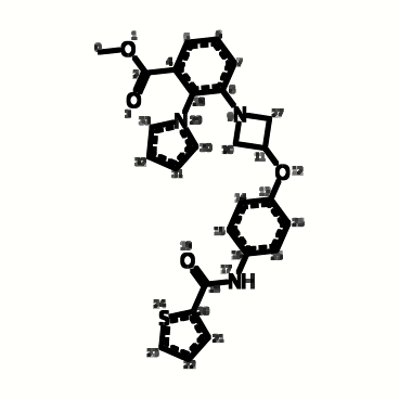 COC(=O)c1cccc(N2CC(Oc3ccc(NC(=O)c4cccs4)cc3)C2)c1-n1cccc1